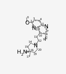 COc1ccc2ncc(F)c(CCN3CCC(C)(N)CC3)c2n1